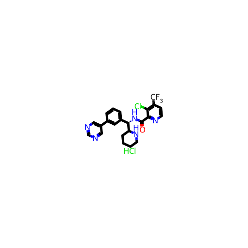 Cl.O=C(N[C@@H](c1cccc(-c2cncnc2)c1)C1CCCCN1)c1nccc(C(F)(F)F)c1Cl